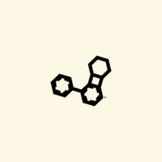 [c]1ccc(-c2ccccc2)c2c1C1CCCCC21